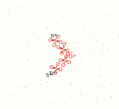 O=S(=O)([O-])[O-].O=S(=O)([O-])[O-].O=S(=O)([O-])[O-].O=S(=O)([O-])[O-].[O-2].[O-2].[Ti+4].[Ti+4].[Ti+4]